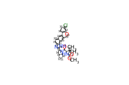 COC(=O)N[C@H](C(=O)N1C2CCCC2C[C@H]1c1nc2ccc3cc4c(cc3c2[nH]1)COc1cc(Cl)ccc1-4)C(C)C